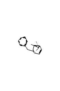 C[C@H](c1ccccc1)N1C2C=CC(CC2)[C@H]1C(=O)O